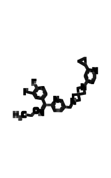 CCON=C(c1ccc(F)c(F)c1)c1ccc(CN2CC3(C2)CN(c2ccnc(C4CC4)c2)C3)cn1